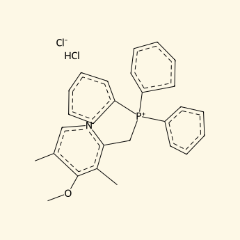 COc1c(C)cnc(C[P+](c2ccccc2)(c2ccccc2)c2ccccc2)c1C.Cl.[Cl-]